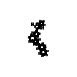 CC1(NCN2CCC3(CCCn4nc(-c5cnc6ccccc6c5)cc43)C2)CCC1